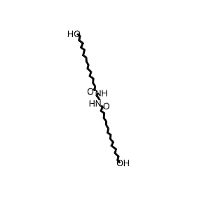 O=C(CCCCCCCCCCCCCCCO)NCCNC(=O)CCCCCCCCCCCCCCCO